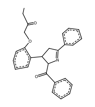 CCC(=O)COc1ccccc1C1CC(c2ccccc2)=NC1C(=O)c1ccccc1